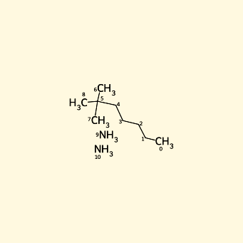 CCCCCC(C)(C)C.N.N